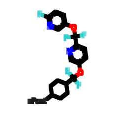 CCCCCC1CCC(C(F)(F)Oc2ccc(C(F)(F)Oc3ccc(F)nc3)nc2)CC1